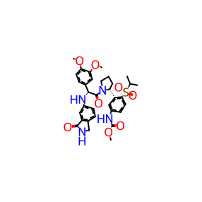 COC(=O)Nc1ccc(S(=O)(=O)C(C)C)c([C@H]2CCCN2C(=O)[C@H](Nc2ccc3c(c2)C(=O)NC3)c2ccc(OC)c(OC)c2)c1